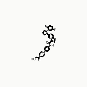 O=C(Nc1ccc(N2CCN(C(=O)CO)CC2)cc1)c1nnc2cnc(N3CCC[C@@H]3c3cc(F)ccc3F)cn12